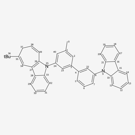 Cc1cc(-c2cccc(-n3c4ccccc4c4ccccc43)c2)cc(-n2c3c(c4ccccc42)C=C(C(C)(C)C)CC=C3)c1